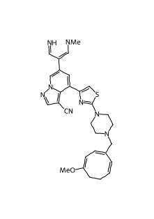 CN/C=C(\C=N)c1cc(-c2csc(N3CCN(CC4=C/C=C(/OC)CC/C=C\4)CC3)n2)c2c(C#N)cnn2c1